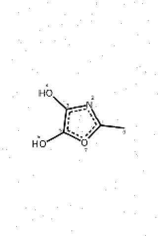 Cc1nc(O)c(O)o1